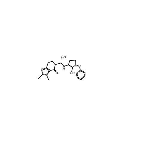 Cc1sc2c(c1C)C(=O)C(CNC1CCC(Oc3ccccc3)C1O)CC2.Cl